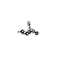 CC(C)c1cncc(Nc2cnc3cc(-c4nnc(C5CCCC5)s4)c(NCOCC[Si](C)(C)C)nc3c2)c1